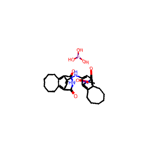 O=c1[nH]c(=O)c2c(Nc3cc4c5c(c3c(=O)[nH]c4=O)CCCCCC5)cc1c1c2CCCCCC1.OP(O)O